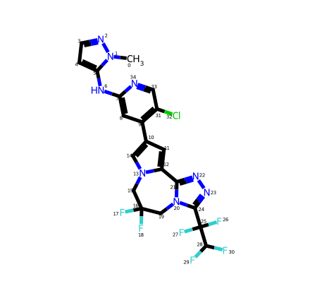 Cn1nccc1Nc1cc(-c2cc3n(c2)CC(F)(F)Cn2c-3nnc2C(F)(F)C(F)F)c(Cl)cn1